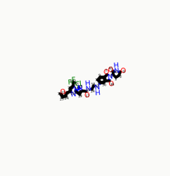 O=C1CCC(N2C(=O)c3ccc(NCCNC(=O)c4cc5nc(-c6ccco6)cc(C(F)(F)Cl)n5n4)cc3C2=O)C(=O)N1